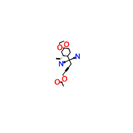 C=C[C@@H]1CC2(CCC1C(C#N)(C#N)CC#CCOC(C)=O)OCCO2